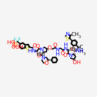 Cc1ncsc1-c1ccc([C@H](C)NC(=O)[C@@H]2C[C@@H](O)CN2C(=O)[C@H](NC(=O)CNC(=O)CO[C@H]2C[C@@H](C(=O)N3CCO[C@H](c4ccccc4)C3)N(C(=O)[C@@H](NC(=O)c3cc4cc(C(F)(F)P(=O)(O)O)ccc4s3)C(C)(C)C)C2)C(C)(C)C)cc1